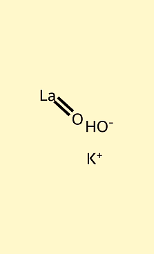 [K+].[OH-].[O]=[La]